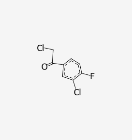 O=C(CCl)c1ccc(F)c(Cl)c1